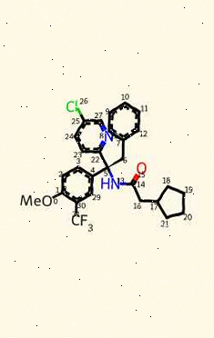 COc1ccc([C@@](Cc2ccccc2)(NC(=O)CC2CCCC2)c2ccc(Cl)cn2)cc1C(F)(F)F